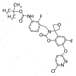 CC(C)(C)OC(=O)Nc1cccc(CN2C(=O)Oc3cc(Oc4ccc(Cl)nn4)c(F)cc3C23COC3)c1F